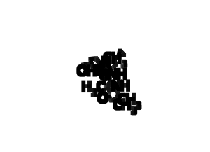 Cc1c(C(=O)NC(CCC2CC2)c2nc3cc(CO)ccc3n2C)[nH]c2c1C(=O)CC(C)(C)C2